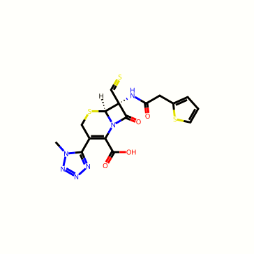 Cn1nnnc1C1=C(C(=O)O)N2C(=O)[C@@](C=S)(NC(=O)Cc3cccs3)[C@@H]2SC1